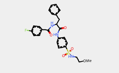 COCCNS(=O)(=O)c1ccc(NC(=O)C(Cc2ccccc2)NC(=O)c2ccc(F)cc2)cc1